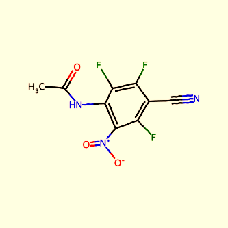 CC(=O)Nc1c(F)c(F)c(C#N)c(F)c1[N+](=O)[O-]